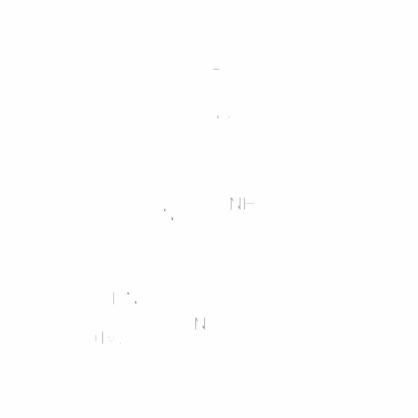 CCOCc1nc2c(NC(C)(C)C)nc3ccccc3c2[nH]1